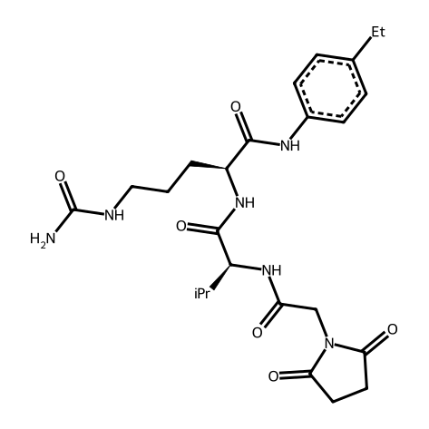 CCc1ccc(NC(=O)[C@H](CCCNC(N)=O)NC(=O)[C@@H](NC(=O)CN2C(=O)CCC2=O)C(C)C)cc1